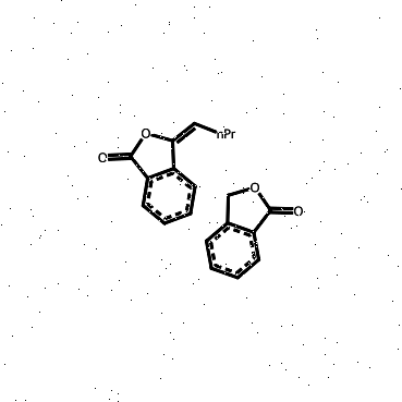 CCC/C=C1/OC(=O)c2ccccc21.O=C1OCc2ccccc21